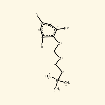 C[Si](C)(C)CCOCOc1c(F)cc(I)cc1F